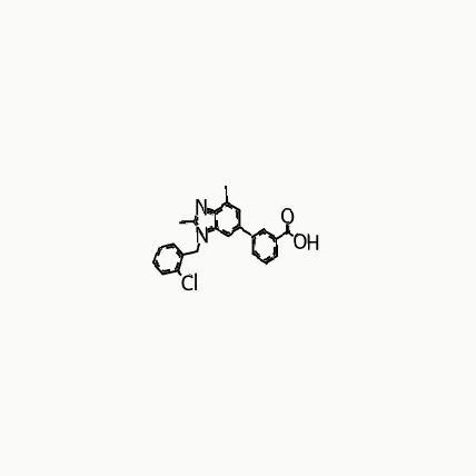 Cc1cc(-c2cccc(C(=O)O)c2)cc2c1nc(C)n2Cc1ccccc1Cl